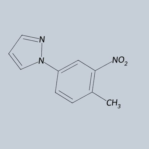 Cc1ccc(-n2cccn2)cc1[N+](=O)[O-]